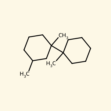 CC1CCCC(C)(C2(C)CCCCC2)C1